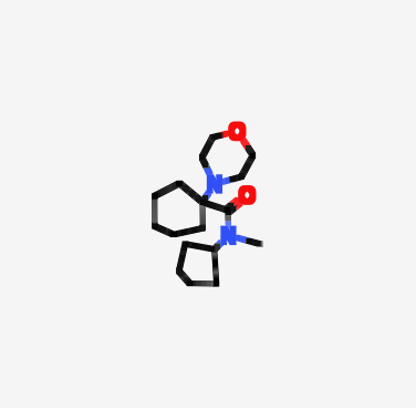 CN(C(=O)C1(N2CCOCC2)CCCCC1)C1CCCC1